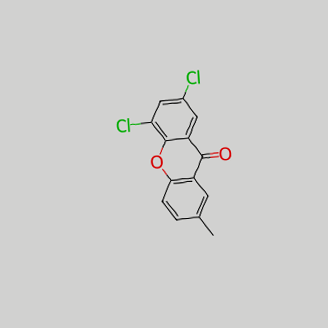 Cc1ccc2oc3c(Cl)cc(Cl)cc3c(=O)c2c1